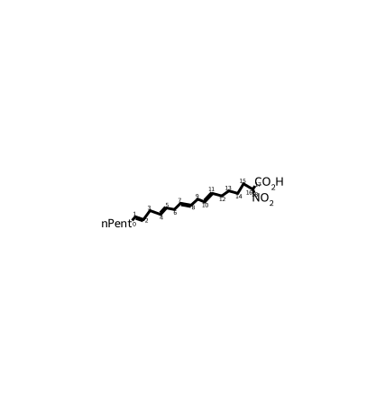 CCCCCC=CCC=CCC=CCC=CCCCCC(C(=O)O)[N+](=O)[O-]